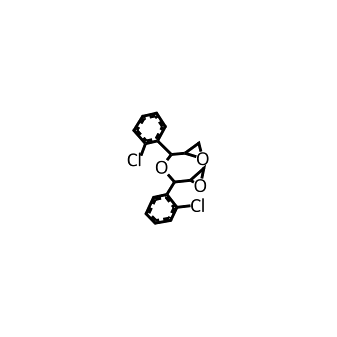 Clc1ccccc1C(OC(c1ccccc1Cl)C1CO1)C1CO1